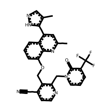 Cc1cc(-c2[nH]ncc2C)c2cccc(OCc3c(C#N)ccnc3Cn3cccc(C(F)(F)F)c3=O)c2n1